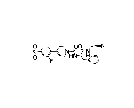 CS(=O)(=O)c1ccc(C2=CCN(C(=O)NC(Cc3ccccc3)C(=O)NCC#N)CC2)c(F)c1